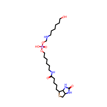 O=C(CCCCC1SCC2NC(=O)NC21)NCCCCCCOP(=O)(O)OCNCCCCCCO